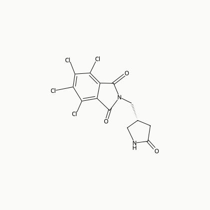 O=C1C[C@@H](CN2C(=O)c3c(Cl)c(Cl)c(Cl)c(Cl)c3C2=O)CN1